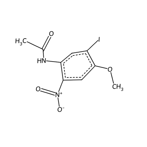 COc1cc([N+](=O)[O-])c(NC(C)=O)cc1I